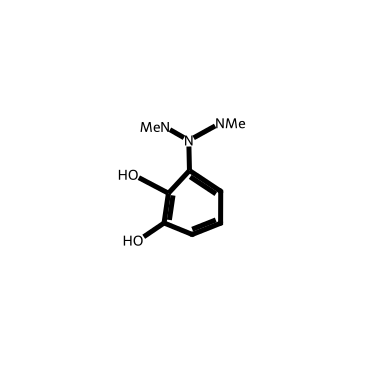 CNN(NC)c1cccc(O)c1O